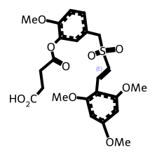 COc1cc(OC)c(/C=C/S(=O)(=O)Cc2ccc(OC)c(OC(=O)CCC(=O)O)c2)c(OC)c1